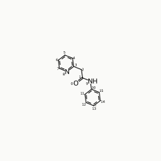 O=C(Cc1ccccn1)Nc1cc[c]cc1